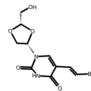 O=c1[nH]c(=O)n([C@@H]2CO[C@H](CO)O2)cc1/C=C/Br